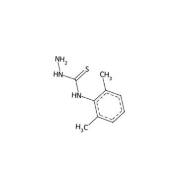 Cc1cccc(C)c1NC(=S)NN